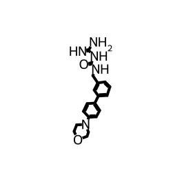 N=C(N)NC(=O)NCc1cccc(-c2ccc(N3CCOCC3)cc2)c1